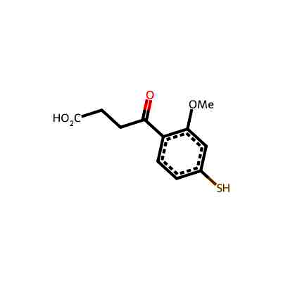 COc1cc(S)ccc1C(=O)CCC(=O)O